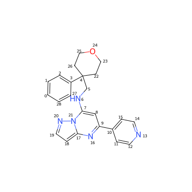 c1ccc(C2(CNc3cc(-c4ccncc4)nc4ccnn34)CCOCC2)cc1